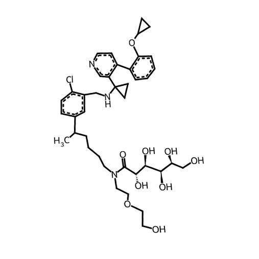 CC(CCCCN(CCOCCO)C(=O)[C@@H](O)[C@@H](O)[C@H](O)[C@@H](O)CO)c1ccc(Cl)c(CNC2(c3cnccc3-c3ccccc3OC3CC3)CC2)c1